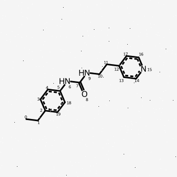 CCc1ccc(NC(=O)NCCc2ccncc2)cc1